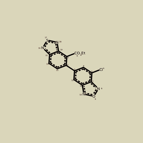 CCOC(=O)c1c(-c2[c]c(Cl)c3nonc3c2)ccc2nsnc12